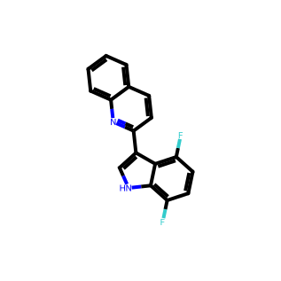 Fc1ccc(F)c2c(-c3ccc4ccccc4n3)c[nH]c12